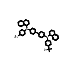 CCC(C)(C)c1ccc(N(c2ccc(-c3ccc(N(c4ccc(C(C)(C)C)cc4)c4cccc5ccccc45)cc3)cc2)c2cccc3ccccc23)cc1